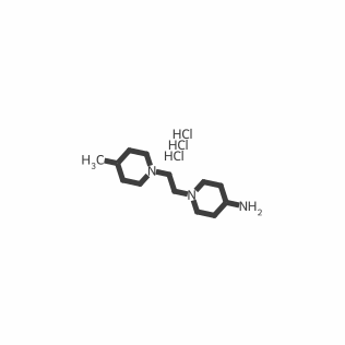 CC1CCN(CCN2CCC(N)CC2)CC1.Cl.Cl.Cl